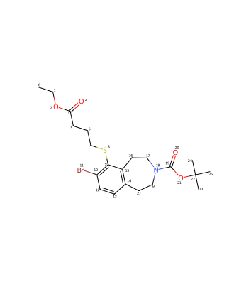 CCOC(=O)CCCSc1c(Br)ccc2c1CCN(C(=O)OC(C)(C)C)CC2